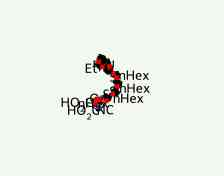 [C-]#[N+]/C(C(=O)O)=c1\s/c(=C\c2sc(-c3sc(-c4sc(-c5sc(-c6ccc7c(c6)CCc6ccccc6N7CC(CC)CCCC)cc5CCCCCC)cc4CCCCCC)cc3CCCCCC)cc2CCCCCC)c(=O)n1CC(=O)O